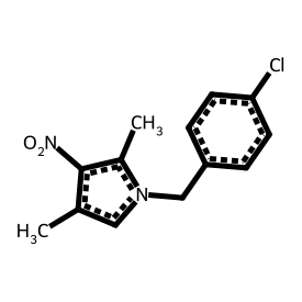 Cc1cn(Cc2ccc(Cl)cc2)c(C)c1[N+](=O)[O-]